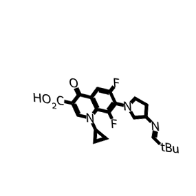 CC(C)(C)C=NC1CCN(c2c(F)cc3c(=O)c(C(=O)O)cn(C4CC4)c3c2F)C1